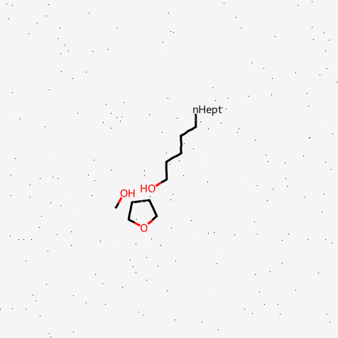 C1CCOC1.CCCCCCCCCCCCO.CO